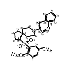 COc1ccc(OC)c(S(=O)(=O)N2CCCC23CCN(c2cnc4ccccc4n2)CC3)c1